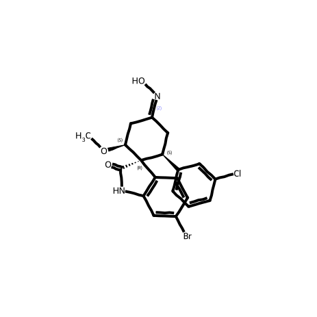 CO[C@H]1C/C(=N\O)C[C@@H](c2cccc(Cl)c2)[C@]12C(=O)Nc1cc(Br)ccc12